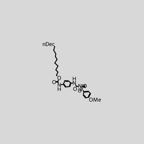 CCCCCCCCCCCCCCCCCCCCOC(=O)Nc1ccc(NC(=O)NS(=O)(=O)c2ccc(OC)cc2)cc1